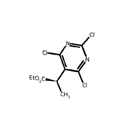 CCOC(=O)[C@H](C)c1c(Cl)nc(Cl)nc1Cl